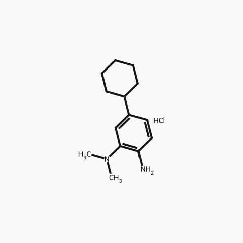 CN(C)c1cc(C2CCCCC2)ccc1N.Cl